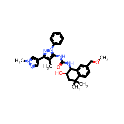 COCc1ccc2c(c1)C(NC(=O)Nc1c(C)c(-c3cnn(C)c3)nn1-c1ccccc1)[C@H](O)CC2(C)C